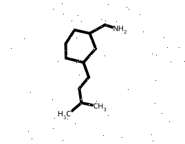 CC(C)CCC1CCCC(CN)C1